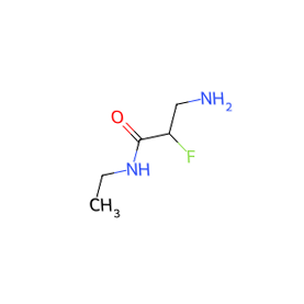 CCNC(=O)C(F)CN